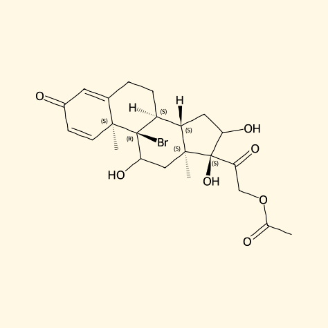 CC(=O)OCC(=O)[C@@]1(O)C(O)C[C@H]2[C@@H]3CCC4=CC(=O)C=C[C@]4(C)[C@@]3(Br)C(O)C[C@@]21C